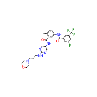 Cc1ccc(NC(=O)c2cc(F)cc(C(F)(F)F)c2)cc1C(=O)Nc1cnc(NCCCN2CCOCC2)nc1